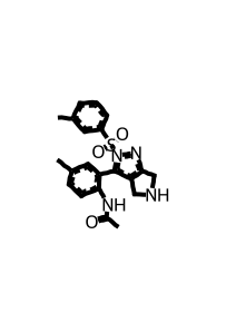 CC(=O)Nc1ccc(C)cc1-c1c2c(nn1S(=O)(=O)c1cccc(C)c1)CNC2